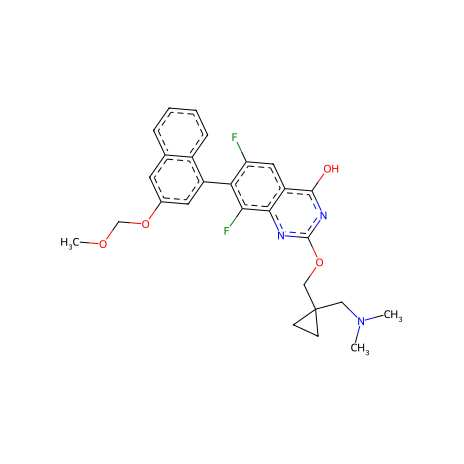 COCOc1cc(-c2c(F)cc3c(O)nc(OCC4(CN(C)C)CC4)nc3c2F)c2ccccc2c1